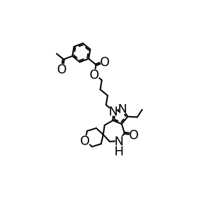 CCc1nn(CCCCOC(=O)c2cccc(C(C)=O)c2)c2c1C(=O)NCC1(CCOCC1)C2